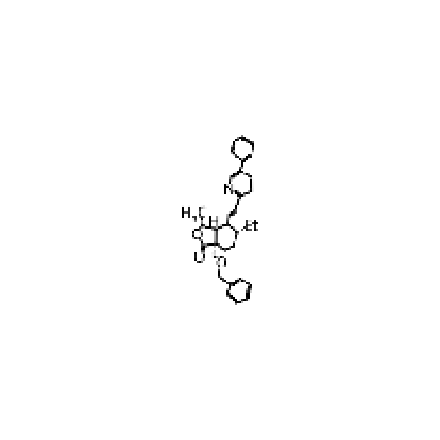 CC[C@@H]1CC[C@@]2(COCc3ccccc3)C(=O)O[C@H](C)[C@H]2[C@H]1/C=C/c1ccc(-c2ccccc2)cn1